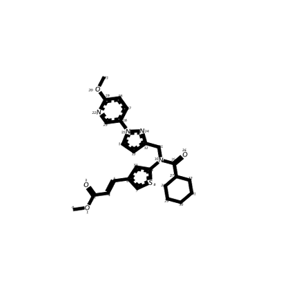 COC(=O)/C=C/c1csc(N(Cc2ccn(-c3ccc(OC)nc3)n2)C(=O)C2CCCCC2)c1